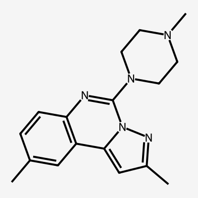 Cc1ccc2nc(N3CCN(C)CC3)n3nc(C)cc3c2c1